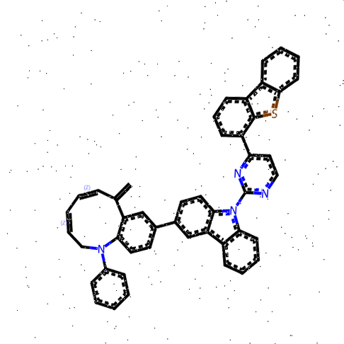 C=C1/C=C\C=C/CN(c2ccccc2)c2ccc(-c3ccc4c(c3)c3ccccc3n4-c3nccc(-c4cccc5c4sc4ccccc45)n3)cc21